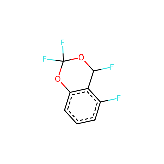 Fc1cccc2c1C(F)OC(F)(F)O2